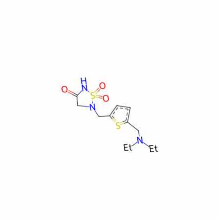 CCN(CC)Cc1ccc(CN2CC(=O)NS2(=O)=O)s1